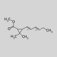 CC/C=C/C=C/C1C(C(=O)OC)C1(C)C